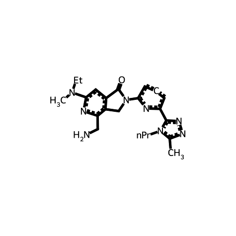 CCCn1c(C)nnc1-c1cccc(N2Cc3c(cc(N(C)CC)nc3CN)C2=O)n1